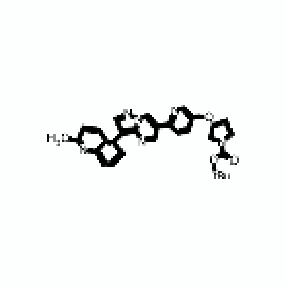 Cc1ccc2c(-c3cnn4cc(-c5ccc(O[C@@H]6CCN(C(=O)OC(C)(C)C)C6)cn5)cnc34)cccc2n1